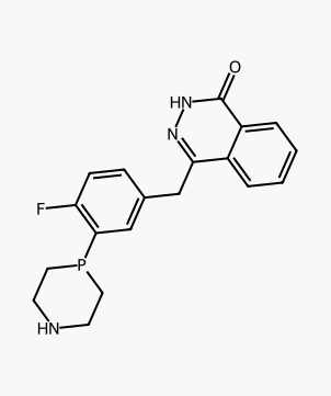 O=c1[nH]nc(Cc2ccc(F)c(P3CCNCC3)c2)c2ccccc12